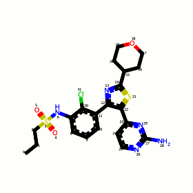 CCCS(=O)(=O)Nc1cccc(-c2nc(C3CCOCC3)sc2-c2ccnc(N)n2)c1Cl